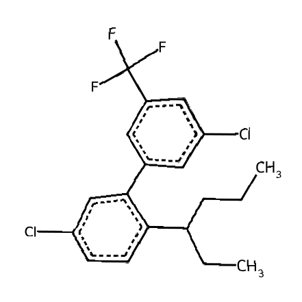 CCCC(CC)c1ccc(Cl)cc1-c1cc(Cl)cc(C(F)(F)F)c1